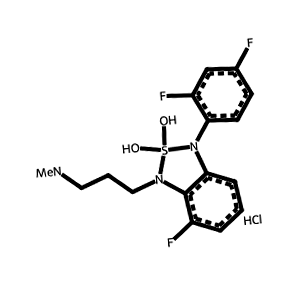 CNCCCN1c2c(F)cccc2N(c2ccc(F)cc2F)S1(O)O.Cl